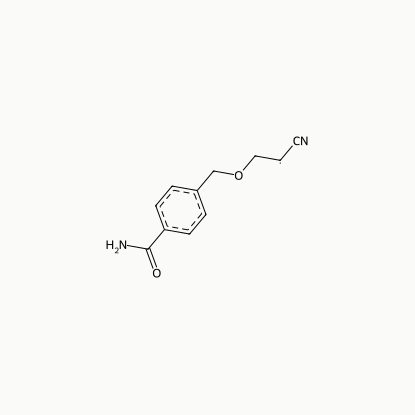 N#C[CH]COCc1ccc(C(N)=O)cc1